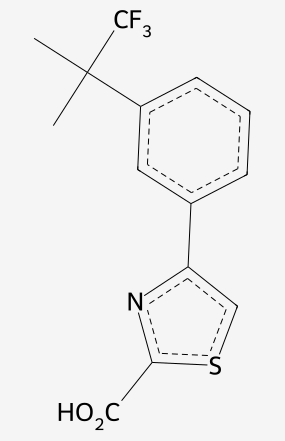 CC(C)(c1cccc(-c2csc(C(=O)O)n2)c1)C(F)(F)F